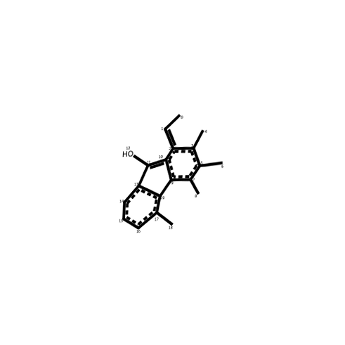 CC=c1c(C)c(C)c(C)c2c1=C(O)c1cccc(C)c1-2